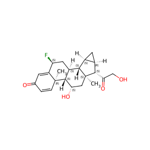 C[C@]12C[C@H](O)[C@H]3[C@@H](C[C@H](F)C4=CC(=O)C=C[C@@]43C)[C@@H]1[C@H]1C[C@H]1[C@@H]2C(=O)CO